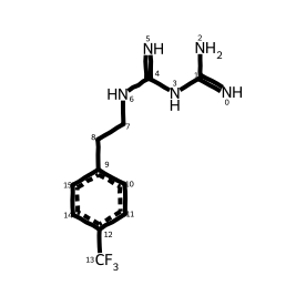 N=C(N)NC(=N)NCCc1ccc(C(F)(F)F)cc1